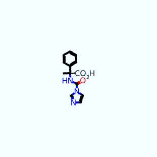 C[C@](NC(=O)n1ccnc1)(C(=O)O)c1ccccc1